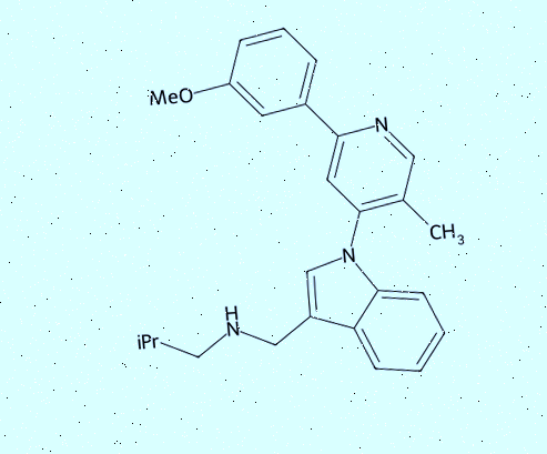 COc1cccc(-c2cc(-n3cc(CNCC(C)C)c4ccccc43)c(C)cn2)c1